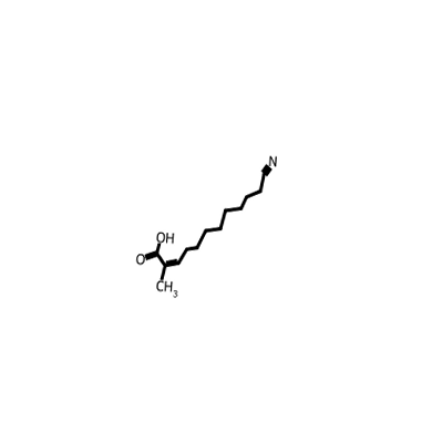 CC(=CCCCCCCCCC#N)C(=O)O